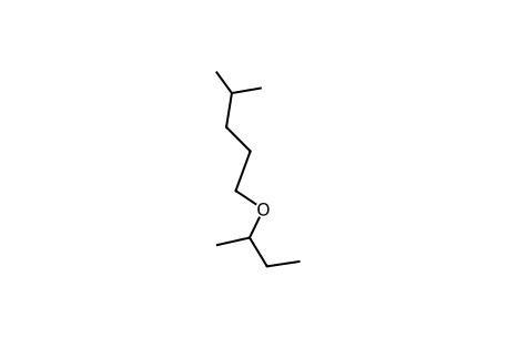 CCC(C)OCCCC(C)C